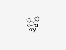 O=C(OCl)C(Cl)C(Cl)C(c1ccccc1)c1ccccc1